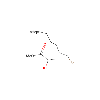 CCCCCCCCCCCCBr.COC(=O)C(C)O